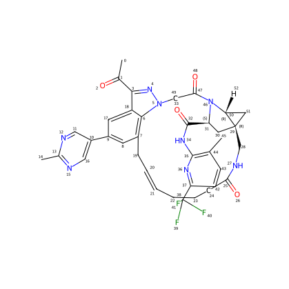 CC(=O)c1nn2c3c(cc(-c4cnc(C)nc4)cc13)CC=CCCCC(=O)NC[C@@]13C[C@@H](C(=O)Nc4nc(C(F)(F)F)ccc4C)N(C(=O)C2)[C@@H]1C3